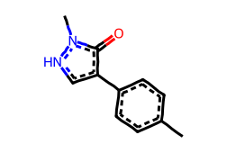 Cc1ccc(-c2c[nH]n(C)c2=O)cc1